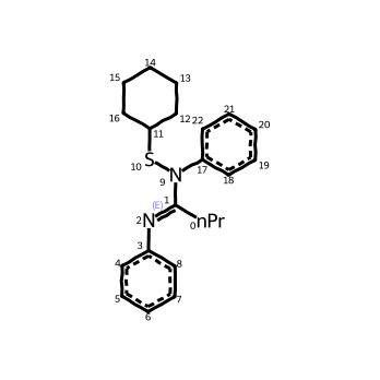 CCC/C(=N\c1ccccc1)N(SC1CCCCC1)c1ccccc1